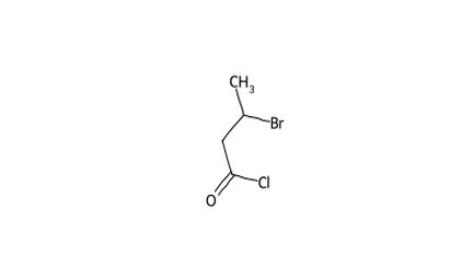 CC(Br)CC(=O)Cl